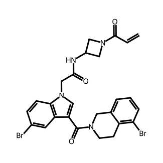 C=CC(=O)N1CC(NC(=O)Cn2cc(C(=O)N3CCc4c(Br)cccc4C3)c3cc(Br)ccc32)C1